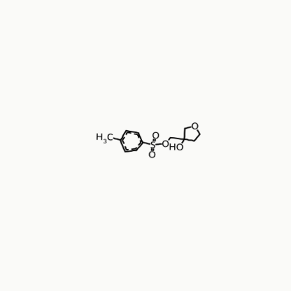 Cc1ccc(S(=O)(=O)OCC2(O)CCOC2)cc1